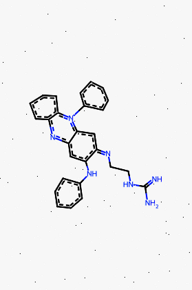 N=C(N)NCC/N=c1/cc2n(-c3ccccc3)c3ccccc3nc-2cc1Nc1ccccc1